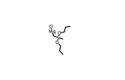 CCCO[Si](C)([CH2][Mg][Cl])OCCC